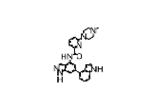 CN1CCN(c2cccc(C(=O)Nc3cc(-c4cccc5[nH]ccc45)cc4[nH]ncc34)n2)CC1